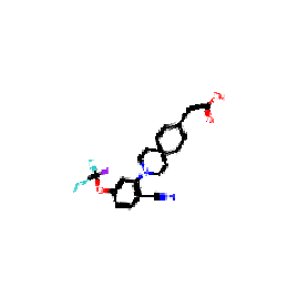 N#Cc1ccc(OC(F)(F)I)cc1N1CCC2(CCC(CC(=O)O)CC2)CC1